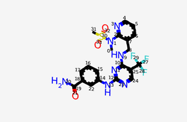 CN(c1ncccc1CNc1nc(Nc2cccc(C(N)=O)c2)ncc1C(F)(F)F)S(C)(=O)=O